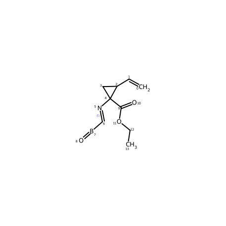 C=CC1CC1(/N=C/B=O)C(=O)OCC